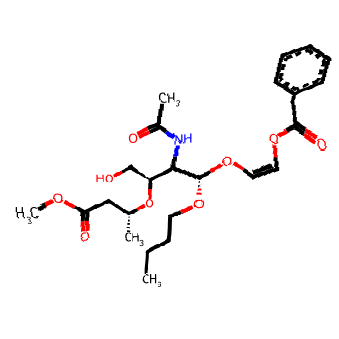 CCCCO[C@@H](O/C=C\OC(=O)c1ccccc1)C(NC(C)=O)[C@H](CO)O[C@H](C)CC(=O)OC